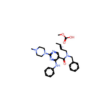 C/C=C/CN(Cc1ccccc1)C(=O)c1cnc(N2CCN(C)CC2)nc1Nc1ccccc1.COC(=O)O